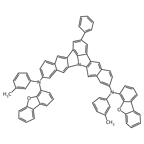 Cc1cccc(N(c2ccc3cc4c5cc(-c6ccccc6)cc6c7cc8ccc(N(c9cccc(C)c9)c9cccc%10c9oc9ccccc9%10)cc8cc7n(c4cc3c2)c56)c2cccc3c2oc2ccccc23)c1